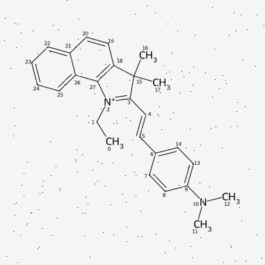 CC[N+]1=C(C=Cc2ccc(N(C)C)cc2)C(C)(C)c2ccc3ccccc3c21